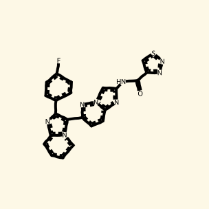 O=C(Nc1cn2nc(-c3c(-c4ccc(F)cc4)nc4ccccn34)ccc2n1)c1csnn1